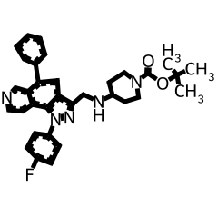 CC(C)(C)OC(=O)N1CCC(NCc2nn(-c3ccc(F)cc3)c3c2cc(-c2ccccc2)c2cnccc23)CC1